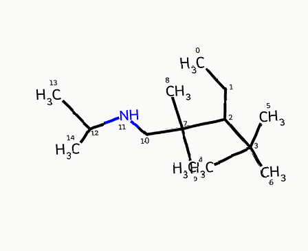 CCC(C(C)(C)C)C(C)(C)CNC(C)C